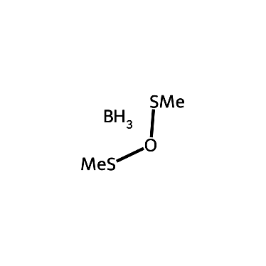 B.CSOSC